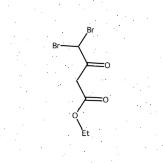 CCOC(=O)CC(=O)C(Br)Br